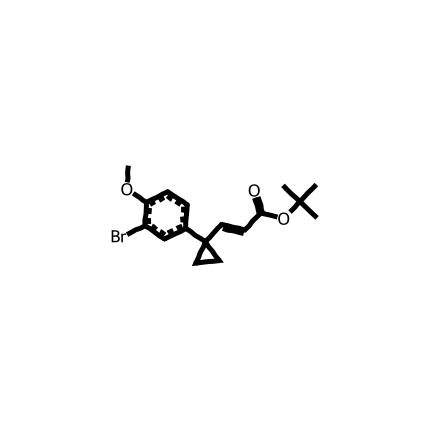 COc1ccc(C2(/C=C/C(=O)OC(C)(C)C)CC2)cc1Br